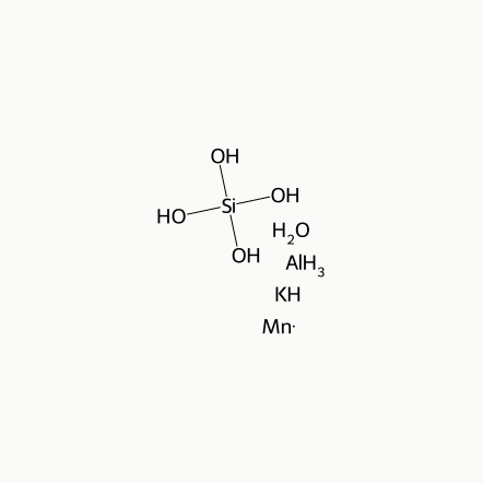 O.O[Si](O)(O)O.[AlH3].[KH].[Mn]